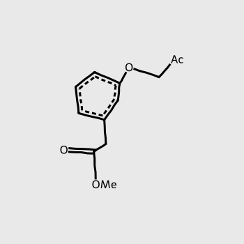 COC(=O)Cc1cccc(OCC(C)=O)c1